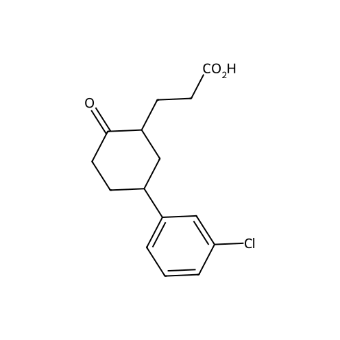 O=C(O)CCC1CC(c2cccc(Cl)c2)CCC1=O